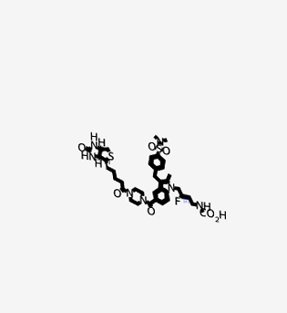 Cc1c(Cc2ccc(S(=O)(=O)N(C)C)cc2)c2cc(C(=O)N3CCN(C(=O)CCCC[C@@H]4SC[C@@H]5NC(=O)N[C@@H]54)CC3)ccc2n1C/C(F)=C/CNC(=O)O